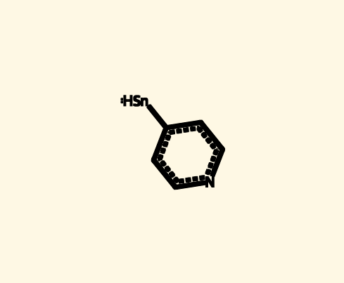 [SnH][c]1ccncc1